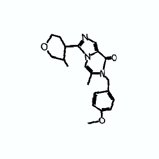 COc1ccc(Cn2c(C)cn3c(C4CCOCC4C)ncc3c2=O)cc1